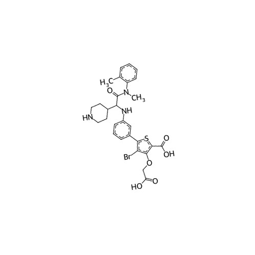 Cc1ccccc1N(C)C(=O)C(Nc1cccc(-c2sc(C(=O)O)c(OCC(=O)O)c2Br)c1)C1CCNCC1